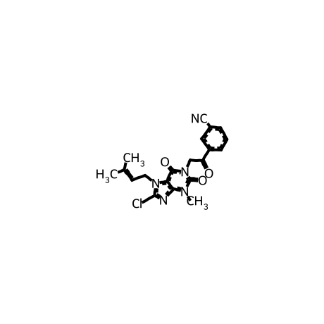 CC(C)=CCn1c(Cl)nc2c1c(=O)n(CC(=O)c1cccc(C#N)c1)c(=O)n2C